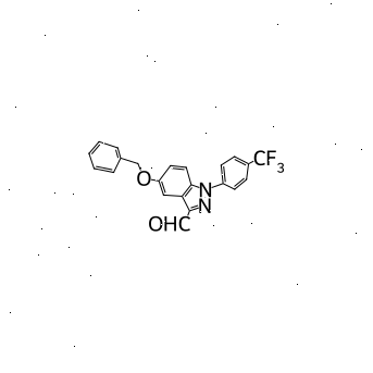 O=Cc1nn(-c2ccc(C(F)(F)F)cc2)c2ccc(OCc3ccccc3)cc12